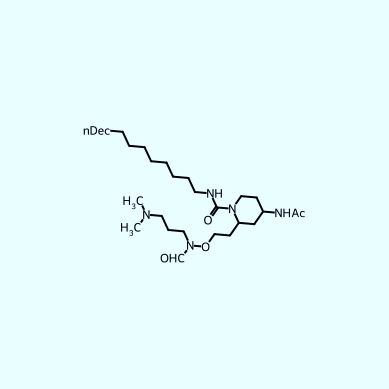 CCCCCCCCCCCCCCCCCCNC(=O)N1CCC(NC(C)=O)CC1CCON(C=O)CCCN(C)C